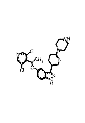 C[C@@H](Oc1ccc2[nH]nc(C3=CN=C(N4CCNCC4)CC3)c2c1)c1c(Cl)cncc1Cl